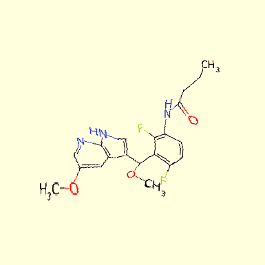 CCCC(=O)Nc1ccc(F)c(C(OC)c2c[nH]c3ncc(OC)cc23)c1F